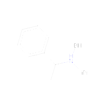 [BH3-][NH+](C(C)C)C(C)c1ccccc1